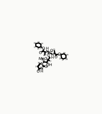 CO[C@](C)(COP(=O)(NC(C)C(=O)OC1CCCCC1)NC(C)C(=O)OC1CCCCC1)[C@@H](O)[C@@H](F)n1ccc(=O)[nH]c1=O